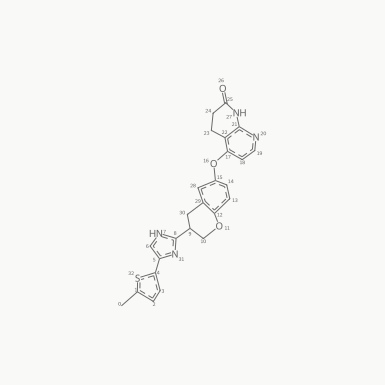 Cc1ccc(-c2c[nH]c(C3COc4ccc(Oc5ccnc6c5CCC(=O)N6)cc4C3)n2)s1